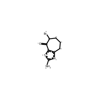 Nc1nc2c(s1)C(=O)C(Br)CCC2